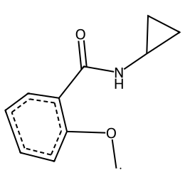 [CH2]Oc1ccccc1C(=O)NC1CC1